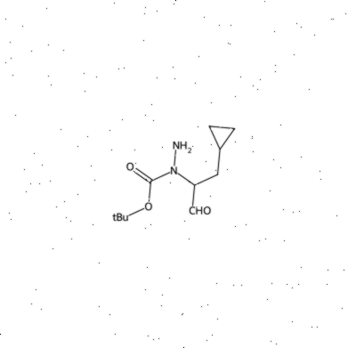 CC(C)(C)OC(=O)N(N)C(C=O)CC1CC1